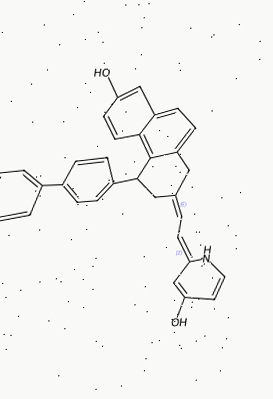 OC1=C/C(=C/C=C2/Cc3ccc4cc(O)ccc4c3C(c3ccc(-c4ccccc4)cc3)C2)NC=C1